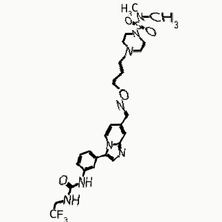 CN(C)S(=O)(=O)N1CCN(CCCO/N=C/c2ccn3c(-c4cccc(NC(=O)NCC(F)(F)F)c4)cnc3c2)CC1